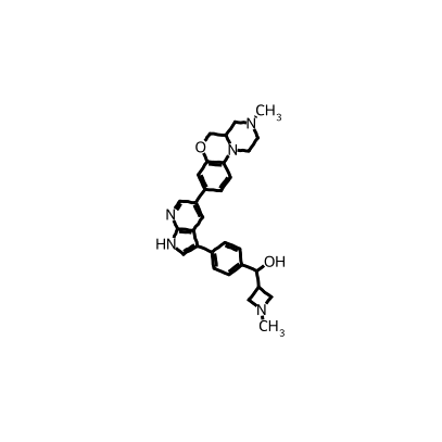 CN1CC(C(O)c2ccc(-c3c[nH]c4ncc(-c5ccc6c(c5)OCC5CN(C)CCN65)cc34)cc2)C1